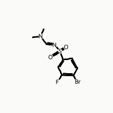 CN(C)C=NS(=O)(=O)c1ccc(Br)c(F)c1